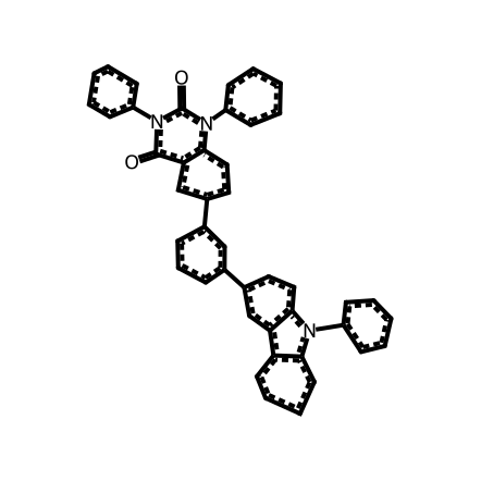 O=c1c2cc(-c3cccc(-c4ccc5c(c4)c4ccccc4n5-c4ccccc4)c3)ccc2n(-c2ccccc2)c(=O)n1-c1ccccc1